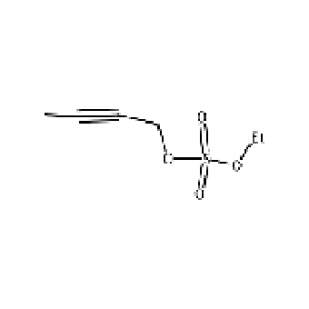 CC#CCOS(=O)(=O)OCC